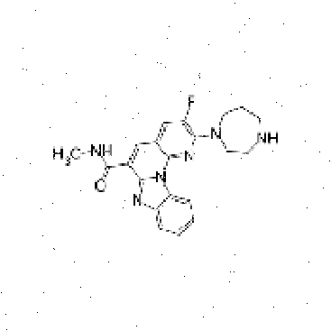 CNC(=O)c1cc2cc(F)c(N3CCCNCC3)nc2n2c1nc1ccccc12